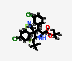 CC(C)(C)CC1NC(C(=O)OC(C)(C)C)C(c2cccc(Cl)c2)C1(C#N)c1c(F)cc(Cl)cc1F